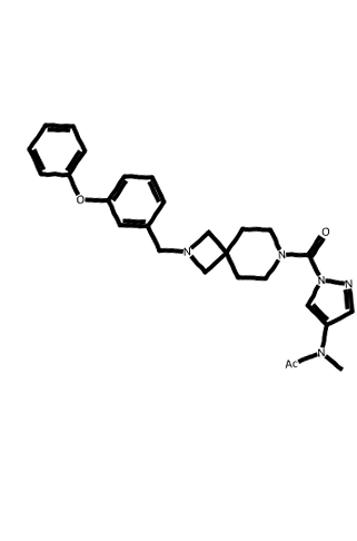 CC(=O)N(C)c1cnn(C(=O)N2CCC3(CC2)CN(Cc2cccc(Oc4ccccc4)c2)C3)c1